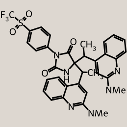 CNc1cc(C(C)C2(C(C)c3cc(NC)nc4ccccc34)NC(=O)N(c3ccc(S(=O)(=O)C(F)(F)F)cc3)C2=O)c2ccccc2n1